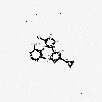 COc1cccc(OC)c1-n1c(Br)nnc1-c1nc(C2CC2)cs1